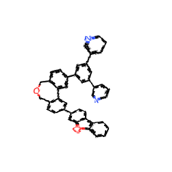 c1cncc(-c2cc(-c3cccnc3)cc(-c3ccc4c(c3)-c3cc(-c5ccc6c(c5)oc5ccccc56)ccc3COC4)c2)c1